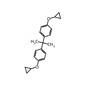 CC(C)(c1ccc(OC2CC2)cc1)c1ccc(OC2CC2)cc1